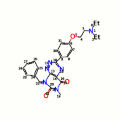 CCN(CC)CCOc1ccc(-c2nnc3c(n2)c(=O)n(C)c(=O)n3Cc2ccccc2)cc1